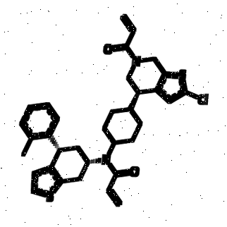 C=CC(=O)N1Cc2sc(Cl)cc2[C@@H](C2CCC(N(C(=O)C=C)[C@@H]3Cc4sccc4[C@H](c4ccccc4C)C3)CC2)C1